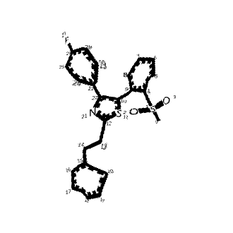 CS(=O)(=O)c1ccccc1-c1sc(CCc2ccccc2)nc1-c1ccc(F)cc1